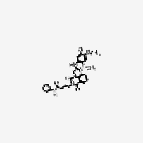 COc1cc(OC)c(NC(=O)Cn2c(=O)n(CCCC(=O)NC3CCCC3)c(=O)c3ccccc32)cc1Cl